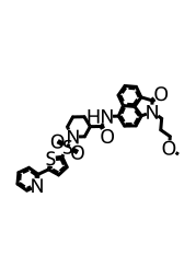 COCCCN1C(=O)c2cccc3c(NC(=O)C4CCCN(S(=O)(=O)c5ccc(-c6ccccn6)s5)C4)ccc1c23